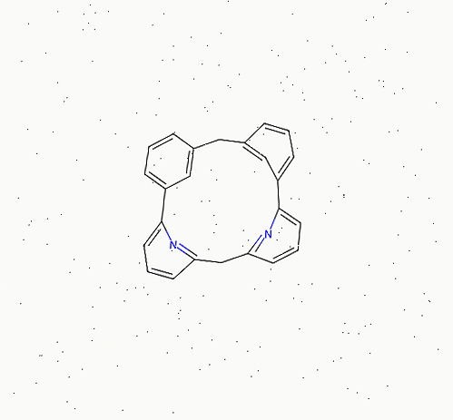 c1cc2cc(c1)-c1cccc(n1)Cc1cccc(n1)-c1cccc(c1)C2